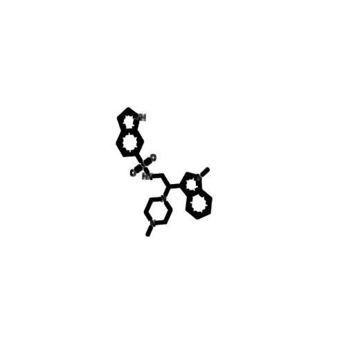 CN1CCN(C(CNS(=O)(=O)c2ccc3cc[nH]c3c2)c2cn(C)c3ccccc23)CC1